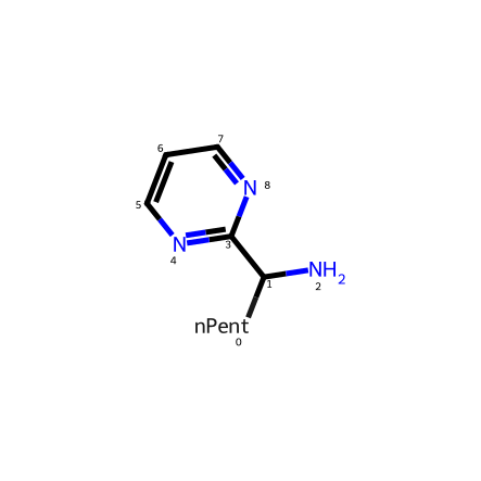 CCCCCC(N)c1ncccn1